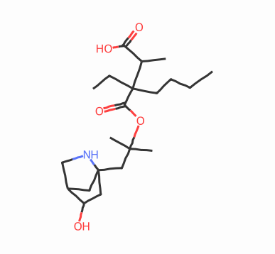 CCCCC(CC)(C(=O)OC(C)(C)CC12CC(O)C(CN1)C2)C(C)C(=O)O